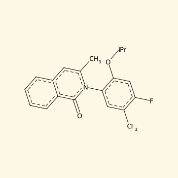 Cc1cc2ccccc2c(=O)n1-c1cc(C(F)(F)F)c(F)cc1OC(C)C